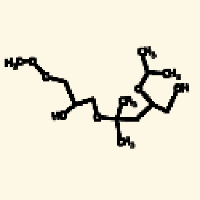 COOCC(O)COC(C)(C)CC(CO)OC(C)C